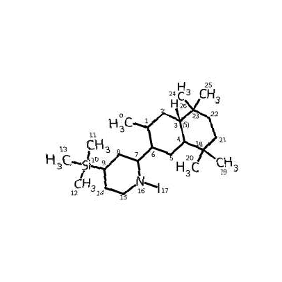 CC1C[C@H]2C(CC1C1CC([Si](C)(C)C)CCN1I)C(C)(C)CCC2(C)C